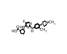 Cc1cc(Nc2ncc(F)c(N[C@@H]3CCC[C@@H]3C(=O)O)n2)ccc1N1CCN(C)CC1